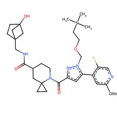 COc1cc(-c2cc(C(=O)N3CCC(C(=O)NCC45CCC(O)(C4)C5)CC34CC4)nn2COCC[Si](C)(C)C)c(F)cn1